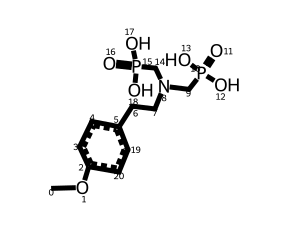 COc1ccc(CCN(CP(=O)(O)O)CP(=O)(O)O)cc1